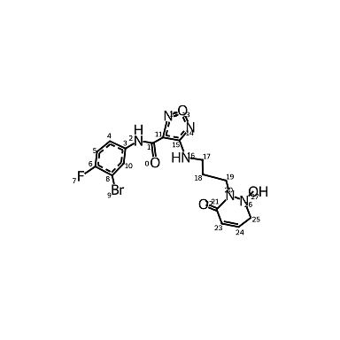 O=C(Nc1ccc(F)c(Br)c1)c1nonc1NCCCN1C(=O)C=CCN1O